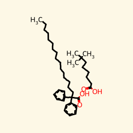 CC(C)(C)CCCCCC(=O)O.CCCCCCCCCCCCCCCCC(C(=O)O)(c1ccccc1)c1ccccc1